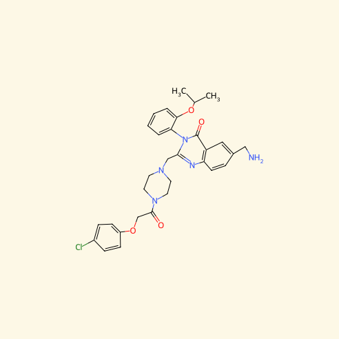 CC(C)Oc1ccccc1-n1c(CN2CCN(C(=O)COc3ccc(Cl)cc3)CC2)nc2ccc(CN)cc2c1=O